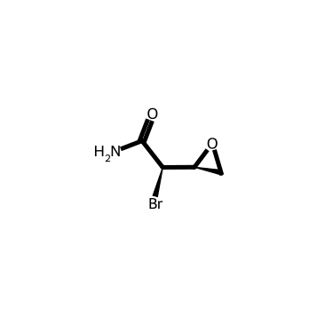 NC(=O)[C@H](Br)[C@@H]1CO1